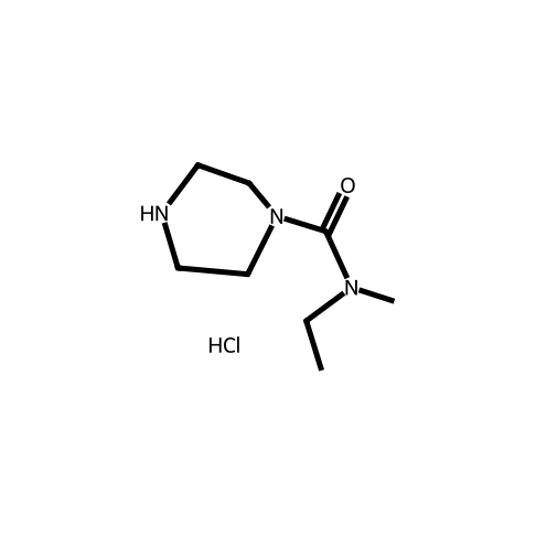 CCN(C)C(=O)N1CCNCC1.Cl